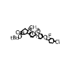 Cn1c2c(c3ccc(-n4ccc(OCc5ccc(Cl)cc5F)cc4=O)nc31)C1CCC(C2)N1C(=O)OC(C)(C)C